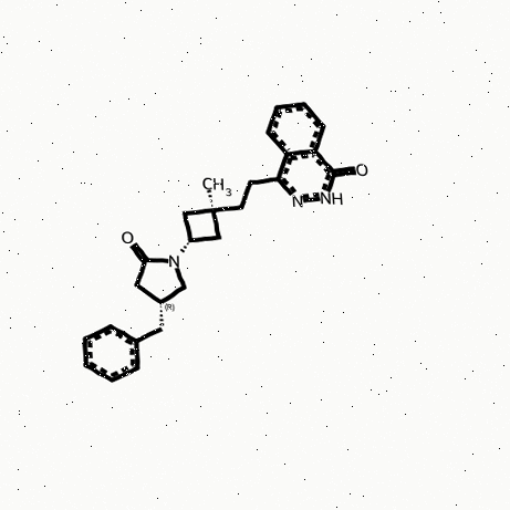 C[C@]1(CCc2n[nH]c(=O)c3ccccc23)C[C@H](N2C[C@H](Cc3ccccc3)CC2=O)C1